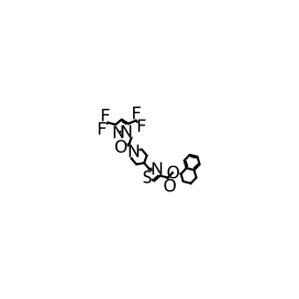 O=C(O[C@H]1CCCc2ccccc21)c1csc(C2CCN(C(=O)Cn3nc(C(F)F)cc3C(F)F)CC2)n1